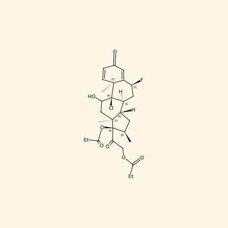 CCC(=O)OCC(=O)[C@@]1(OC(=O)CC)[C@H](C)C[C@H]2[C@@H]3C[C@H](F)C4=CC(=O)C=C[C@]4(C)[C@@]3(Cl)C(O)C[C@@]21C